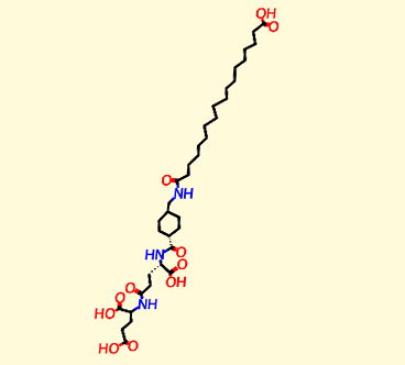 O=C(O)CCCCCCCCCCCCCCCCC(=O)NC[C@H]1CC[C@H](C(=O)N[C@@H](CCC(=O)N[C@@H](CCC(=O)O)C(=O)O)C(=O)O)CC1